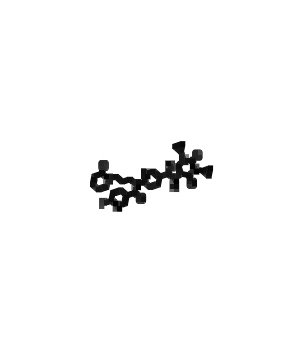 O=C(c1ccc(F)nc1)N(CCCn1ccccc1=O)c1ccc(-c2nc3c([nH]2)c(=O)n(C2CC2)c(=O)n3C2CC2)cn1